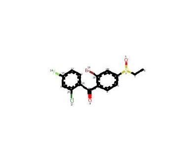 CC[S+]([O-])c1ccc(C(=O)c2ccc(F)cc2Cl)c(Br)c1